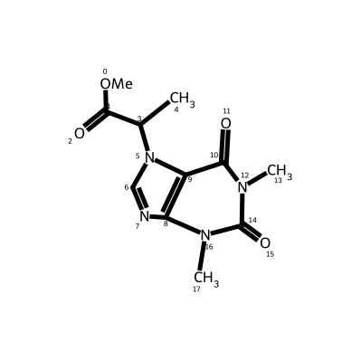 COC(=O)C(C)n1cnc2c1c(=O)n(C)c(=O)n2C